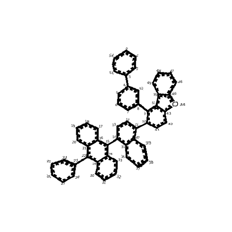 c1ccc(-c2cccc(-c3c(-c4ccc(-c5c6ccccc6c(-c6ccccc6)c6ccccc56)c5ccccc45)ccc4oc5ccccc5c34)c2)cc1